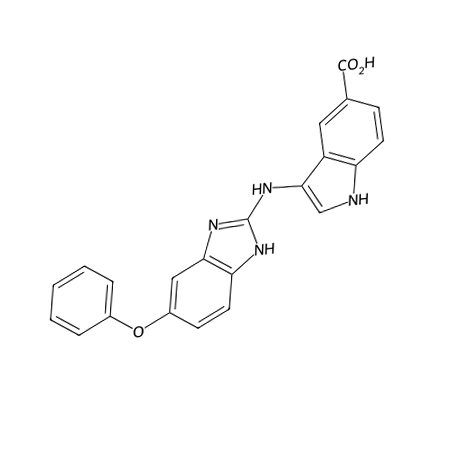 O=C(O)c1ccc2[nH]cc(Nc3nc4cc(Oc5ccccc5)ccc4[nH]3)c2c1